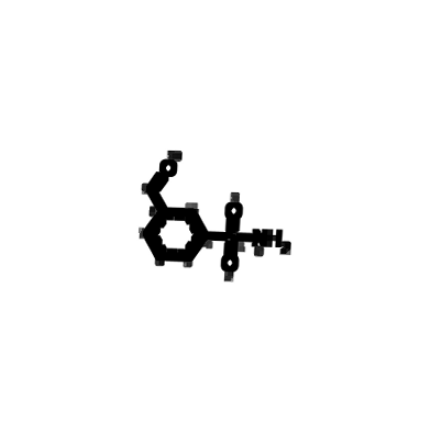 NS(=O)(=O)c1cccc(C=O)c1